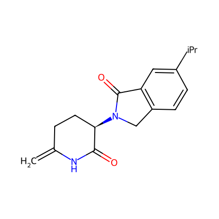 C=C1CC[C@@H](N2Cc3ccc(C(C)C)cc3C2=O)C(=O)N1